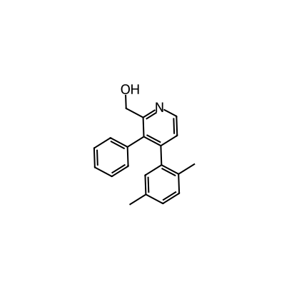 Cc1ccc(C)c(-c2ccnc(CO)c2-c2ccccc2)c1